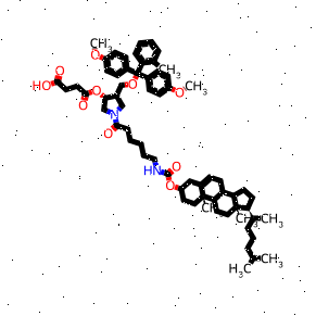 COc1ccc(C(OCC2CN(C(=O)CCCCCNC(=O)OC3CC[C@@]4(C)C(=CCC5C4CC[C@@]4(C)C5CC[C@@H]4C(C)CCCC(C)C)C3)CC2OC(=O)CCC(=O)O)(c2ccc(OC)cc2)c2ccccc2C)cc1